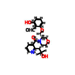 CC(C)(O)Cc1ncccc1C(=O)N1CCOC[C@H]1COc1cccc(O)c1C=O